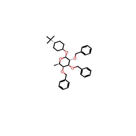 C[C@H]1O[C@@H](O[C@@H]2[CH]C[C@@H](C(C)(C)C)CC2)[C@H](OCc2ccccc2)[C@@H](OCc2ccccc2)[C@H]1OCc1ccccc1